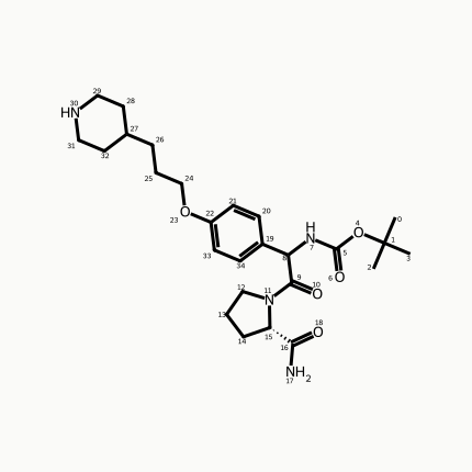 CC(C)(C)OC(=O)NC(C(=O)N1CCC[C@H]1C(N)=O)c1ccc(OCCCC2CCNCC2)cc1